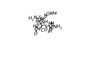 CON=CC(=O)NC1(c2csc(N)n2)S[C@H]2CC(=O)N2C(C(=O)O)=C1CSc1nnc(N)[nH]1